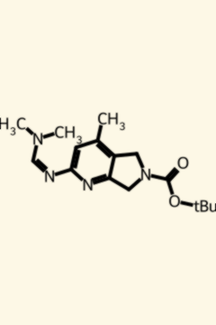 Cc1cc(/N=C\N(C)C)nc2c1CN(C(=O)OC(C)(C)C)C2